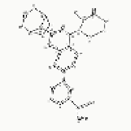 CNC(=O)c1cccc(-c2ccc3c(C4OCCNC4C)nc(N4C5CCC4COC5)nc3n2)c1